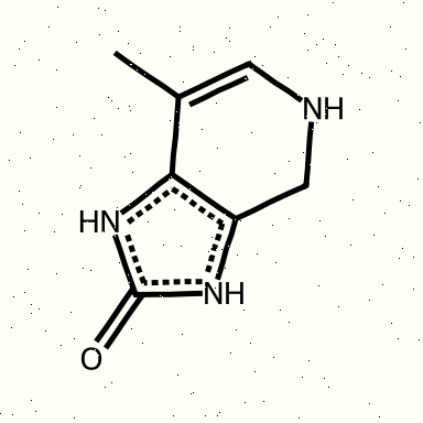 CC1=CNCc2[nH]c(=O)[nH]c21